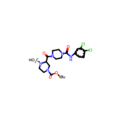 CC(C)(C)OC(=O)N1CCN(C(=O)O)C(C(=O)N2CCN(C(=O)Nc3ccc(Cl)c(Cl)c3)CC2)C1